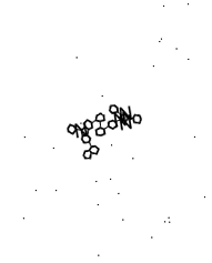 c1ccc(-c2nc(-c3ccccc3)n(-c3ccc(-c4ccccc4-c4ccccc4-c4ccc5c(c4)c4cc(-c6cccc7ccccc67)ccc4n5-c4ccccc4)cc3)n2)cc1